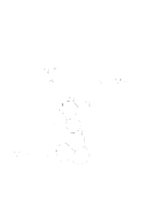 CCc1c(F)ccc2cc(OCOC)cc(-c3ncc4c(NCCC(=O)OC)nc(OC[C@@]56CCCN5C[C@H](F)C6)nc4c3F)c12